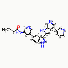 CCCC(=O)Nc1cncc(-c2ccc3[nH]nc(-c4cc5c(-c6cccnc6)cncc5[nH]4)c3c2)c1